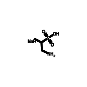 CC(CN)S(=O)(=O)O.[NaH]